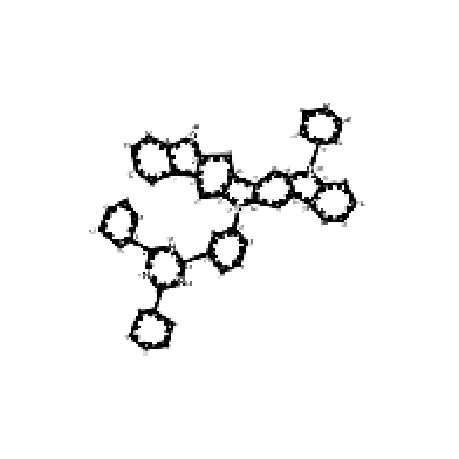 c1ccc(-c2nc(-c3ccccc3)nc(-c3cccc(-n4c5cc6c(cc5c5cc7c(cc54)c4ccccc4n7-c4ccccc4)oc4ccccc46)c3)n2)cc1